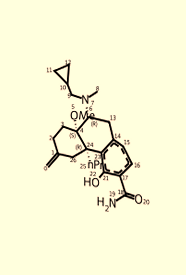 C=C1CC[C@@]2(OC)[C@H](N(C)CC3CC3)Cc3ccc(C(N)=O)c(O)c3[C@@]2(CCC)C1